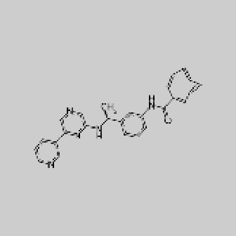 C[C@H](Nc1cncc(-c2cccnc2)n1)c1cccc(NC(=O)C2=C/C=C/C=C/C=C\2)c1